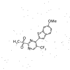 COc1ccc2cc(-c3nc(S(C)(=O)=O)ncc3C(F)(F)F)sc2c1